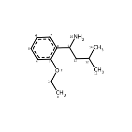 CCOc1ccccc1C(N)CC(C)C